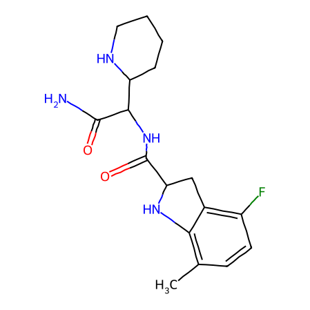 Cc1ccc(F)c2c1NC(C(=O)NC(C(N)=O)C1CCCCN1)C2